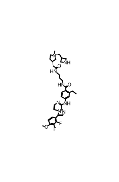 CCc1cc(Nc2nccn3c(-c4ccc(OC)c(F)c4F)cnc23)ccc1C(=O)NCCCNC(=O)C[C@@H]1CC[N+](C)(CC2CNC2)C1